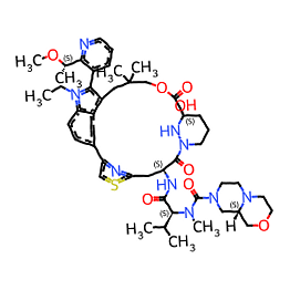 CCn1c(-c2cccnc2[C@H](C)OC)c2c3cc(ccc31)-c1csc(n1)C[C@H](NC(=O)[C@H](C(C)C)N(C)C(=O)N1CCN3CCOC[C@@H]3C1)C(=O)N1CCC[C@@](O)(N1)C(=O)OCC(C)(C)C2